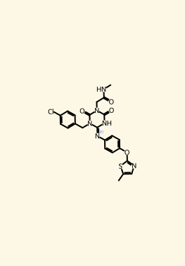 CNC(=O)Cn1c(=O)[nH]/c(=N\c2ccc(Oc3ncc(C)s3)cc2)n(Cc2ccc(Cl)cc2)c1=O